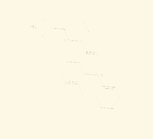 C=CC(NC(=O)C1CNC1)C(=O)c1ccc(F)c(F)c1Nc1ccc(I)cc1F